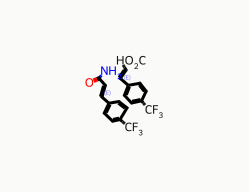 NC(=O)/C=C/c1ccc(C(F)(F)F)cc1.O=C(O)/C=C/c1ccc(C(F)(F)F)cc1